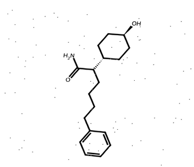 NC(=O)C(CCCCc1ccccc1)[C@H]1CC[C@H](O)CC1